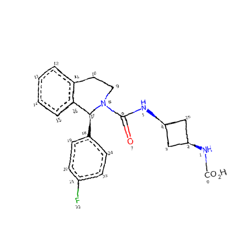 O=C(O)N[C@H]1C[C@@H](NC(=O)N2CCc3ccccc3[C@@H]2c2ccc(F)cc2)C1